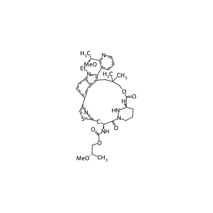 CCn1c(-c2cccnc2[C@H](C)OC)c2c3cc(ccc31)-c1csc(n1)C[C@H](NC(=O)OC[C@H](C)OC)C(=O)N1CCC[C@H](N1)C(=O)OCC(C)(C)C2